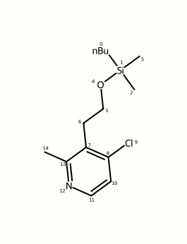 CCCC[Si](C)(C)OCCc1c(Cl)ccnc1C